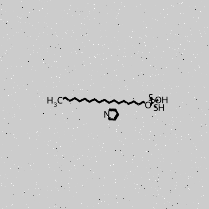 CCCCCCCCCCCCCCCCCCOP(O)(=S)S.c1ccncc1